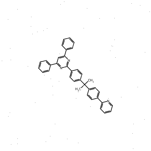 CC(C)(c1ccc(-c2ccccn2)cc1)c1ccc(-c2nc(-c3ccccc3)cc(-c3ccccc3)n2)cc1